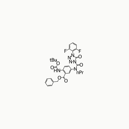 CCCN(C(=O)n1nnn(-c2c(F)cccc2F)c1=O)c1ccc(NC(=O)OC(C)(C)C)c(C(=O)OCc2ccccc2)c1